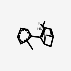 CNN1C2=CC(F)=C(c3ccccc3C)C1C2